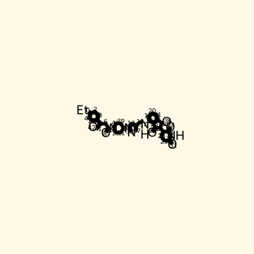 CCc1ccc2c(CC(=O)N3CCC(n4cc(CNc5cccc6c5C(=O)C(C5CCC(=O)NC5=O)C6=O)cn4)CC3)coc2c1